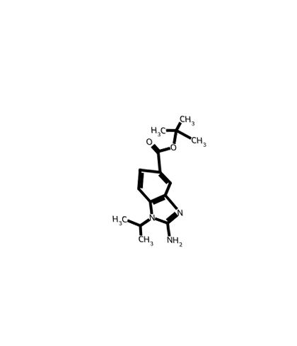 CC(C)n1c(N)nc2cc(C(=O)OC(C)(C)C)ccc21